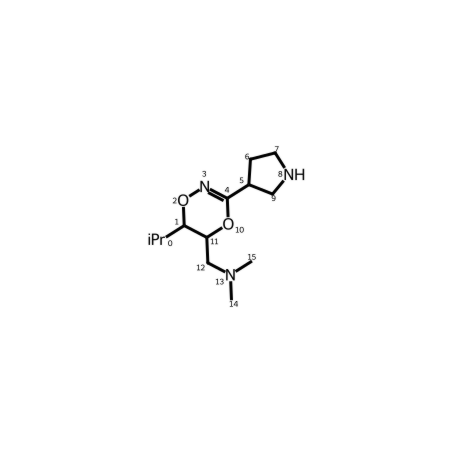 CC(C)C1ON=C(C2CCNC2)OC1CN(C)C